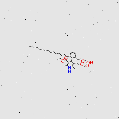 CCCCCCCCCCCCCCCc1cccc(CCOCO)c1C1C(CCOC=O)=C(C)NC(C)=C1C(=O)OCC